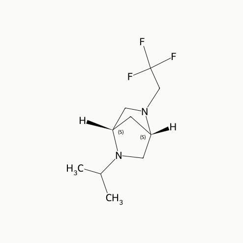 CC(C)N1C[C@@H]2C[C@H]1CN2CC(F)(F)F